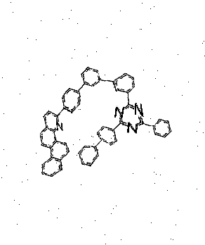 c1ccc(-c2ccc(-c3nc(-c4ccccc4)nc(-c4cccc(-c5cccc(-c6ccc(-c7ccc8ccc9c%10ccccc%10ccc9c8n7)cc6)c5)c4)n3)cc2)cc1